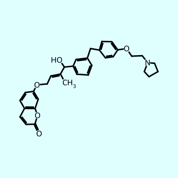 C/C(=C\COc1ccc2ccc(=O)oc2c1)C(O)c1cccc(Cc2ccc(OCCN3CCCC3)cc2)c1